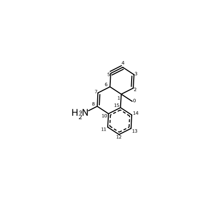 CC12C=CC#CC1C=C(N)c1ccccc12